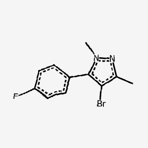 Cc1nn(C)c(-c2ccc(F)cc2)c1Br